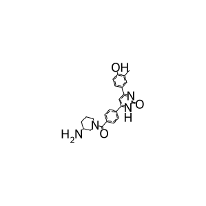 Cc1cc(-c2cc(-c3ccc(C(=O)N4CCCC(N)C4)cc3)[nH]c(=O)n2)ccc1O